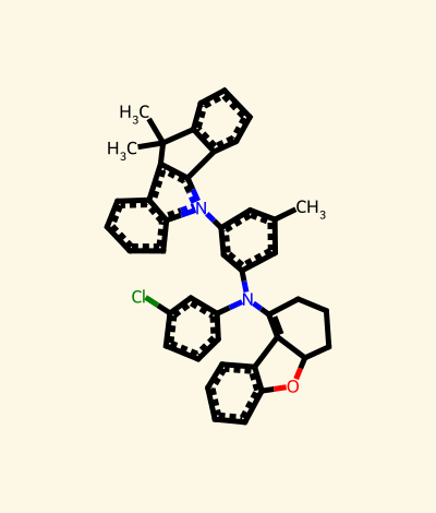 Cc1cc(N(C2=C3c4ccccc4OC3CCC2)c2cccc(Cl)c2)cc(-n2c3c(c4ccccc42)C(C)(C)c2ccccc2-3)c1